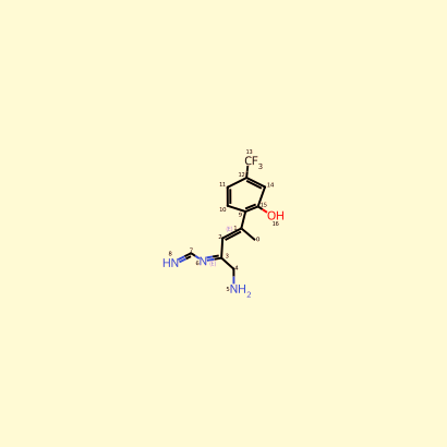 C/C(=C\C(CN)=N/C=N)c1ccc(C(F)(F)F)cc1O